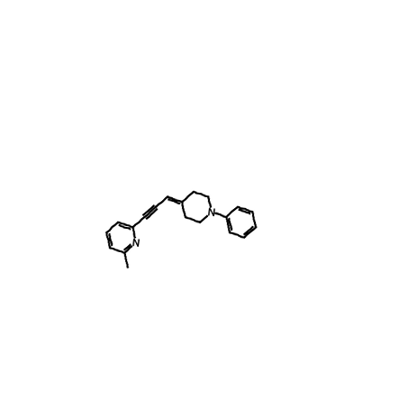 Cc1cccc(C#CC=C2CCN(c3ccccc3)CC2)n1